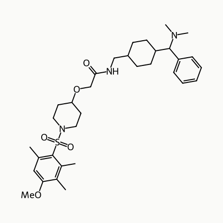 COc1cc(C)c(S(=O)(=O)N2CCC(OCC(=O)NCC3CCC(C(c4ccccc4)N(C)C)CC3)CC2)c(C)c1C